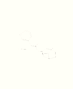 CN1C2CC[C@@H]1CC(OC(=O)[C@H](CO)c1ccccc1)C2